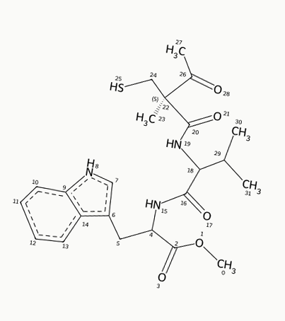 COC(=O)C(Cc1c[nH]c2ccccc12)NC(=O)C(NC(=O)[C@@](C)(CS)C(C)=O)C(C)C